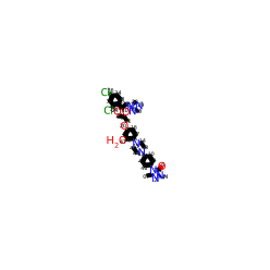 Cc1nn(C)c(=O)n1-c1ccc(N2CCN(c3ccc(OCC4COC(Cn5cncn5)(c5ccc(Cl)cc5Cl)O4)cc3)CC2)cc1.O